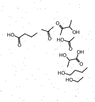 CC(=O)C(C)O.CC(=O)O.CC(C)=O.CC(O)C(=O)O.CCCC(=O)O.CCCCO.CCO